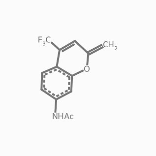 C=C1C=C(C(F)(F)F)c2ccc(NC(C)=O)cc2O1